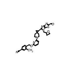 Cc1cc(C#N)ccc1COc1cccc(N2CCC3(CC2)CC3c2nc3nc(C=O)sc3n2CC2CCO2)n1